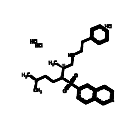 C[C@H](CNCCc1ccccc1)N(CCN(C)C)S(=O)(=O)c1ccc2cnccc2c1.Cl.Cl.Cl